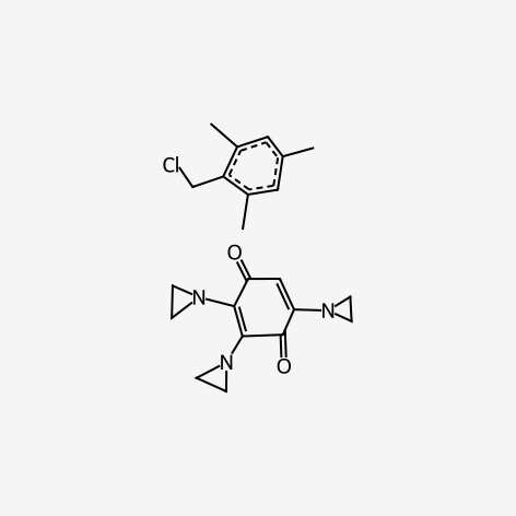 Cc1cc(C)c(CCl)c(C)c1.O=C1C=C(N2CC2)C(=O)C(N2CC2)=C1N1CC1